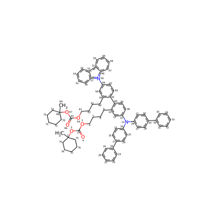 CC1(OC(=O)OCCCCc2cc(N(c3ccc(-c4ccccc4)cc3)c3ccc(-c4ccccc4)cc3)ccc2-c2ccc(-n3c4ccccc4c4ccccc43)cc2CCCCOC(=O)OC2(C)CCCCC2)CCCCC1